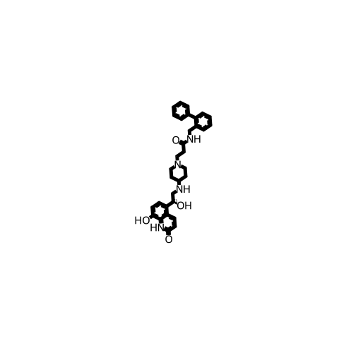 O=C(CCN1CCC(NC[C@@H](O)c2ccc(O)c3[nH]c(=O)ccc23)CC1)NCc1ccccc1-c1ccccc1